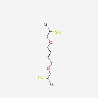 CCC(S)COCCCCOCC(S)CC